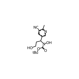 Cc1ncc(C(CCO)N(O)C(=O)OC(C)(C)C)cc1C#N